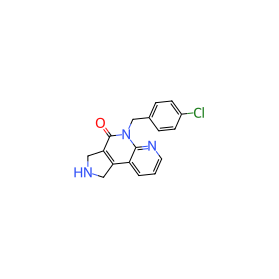 O=c1c2c(c3cccnc3n1Cc1ccc(Cl)cc1)CNC2